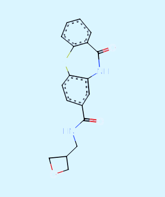 O=C(NCC1COC1)c1ccc2c(c1)NC(=O)c1ccccc1S2